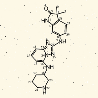 CC1(C)C(=O)Nc2cc(Nc3nc4cccc(NC5CCCNC5)n4n3)ccc21